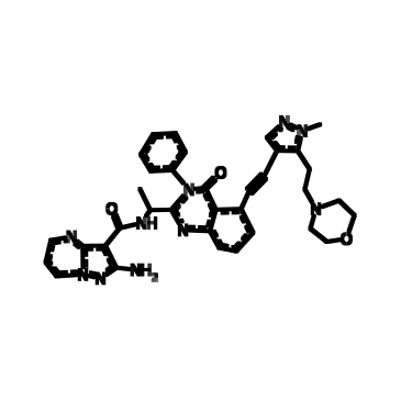 CC(NC(=O)c1c(N)nn2cccnc12)c1nc2cccc(C#Cc3cnn(C)c3CCN3CCOCC3)c2c(=O)n1-c1ccccc1